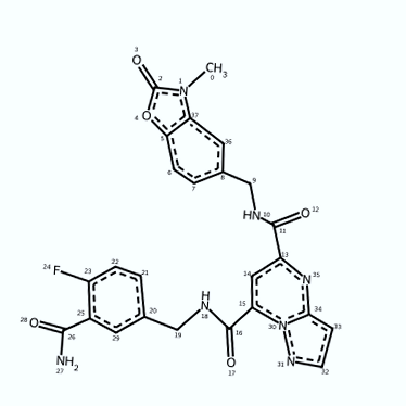 Cn1c(=O)oc2ccc(CNC(=O)c3cc(C(=O)NCc4ccc(F)c(C(N)=O)c4)n4nccc4n3)cc21